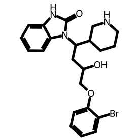 O=c1[nH]c2ccccc2n1C(CC(O)COc1ccccc1Br)C1CCCNC1